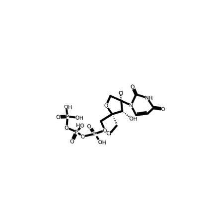 O=c1ccn([C@]2(Cl)CO[C@](CCl)(COP(=O)(O)OP(=O)(O)OP(=O)(O)O)[C@H]2O)c(=O)[nH]1